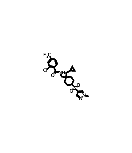 Cn1cc(S(=O)(=O)C2CCC(CNC(=O)c3ccc(C(F)(F)F)cc3Cl)(CC3CC3)CC2)cn1